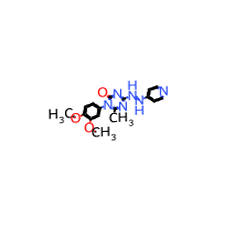 COc1ccc(-n2c(C)nc(NNc3ccncc3)nc2=O)cc1OC